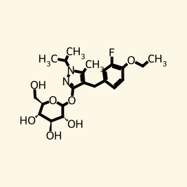 CCOc1ccc(Cc2c(OC3O[C@H](CO)[C@@H](O)[C@H](O)[C@H]3O)nn(C(C)C)c2C)cc1F